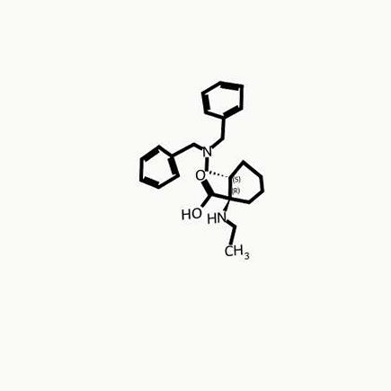 CCN[C@]1(C(=O)O)CCCC[C@H]1CN(Cc1ccccc1)Cc1ccccc1